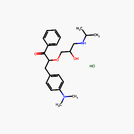 CC(C)NCC(O)COC(Cc1ccc(N(C)C)cc1)C(=O)c1ccccc1.Cl